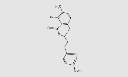 CCCCCc1ccc(CCC2Cc3ccc(C)c(F)c3C(=O)O2)cc1